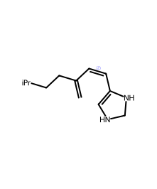 C=C(/C=C\C1=CNCN1)CCC(C)C